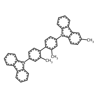 Cc1ccc2c(c1)c1ccccc1n2-c1ccc(-c2ccc(-n3c4ccccc4c4ccccc43)cc2C)c(C)c1